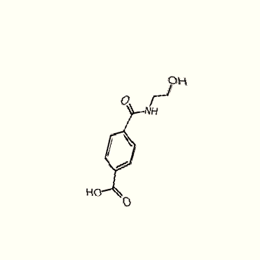 O=C(O)c1ccc(C(=O)NCCO)cc1